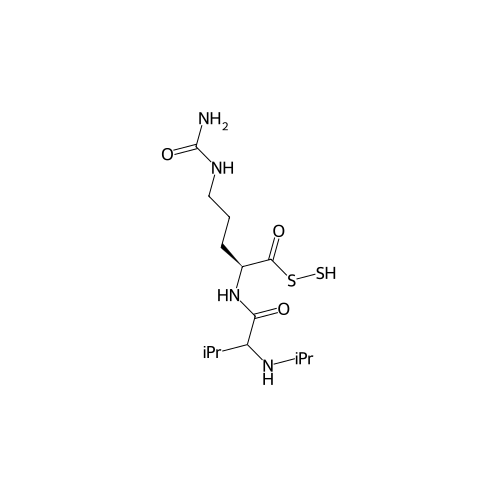 CC(C)NC(C(=O)N[C@@H](CCCNC(N)=O)C(=O)SS)C(C)C